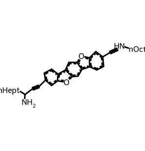 CCCCCCCCNC#Cc1ccc2c(c1)oc1cc3c(cc12)oc1cc(C#CC(N)CCCCCCC)ccc13